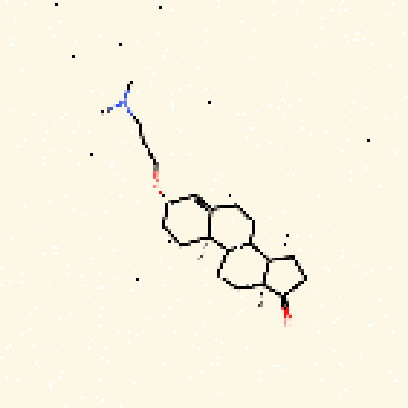 CN(C)CCCO[C@@H]1C=C2CCC3C(CC[C@]4(C)C(=O)CCC34)[C@@]2(C)CC1